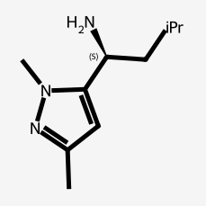 Cc1cc([C@@H](N)CC(C)C)n(C)n1